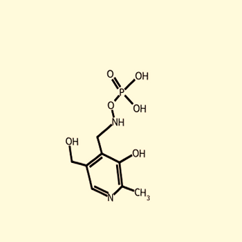 Cc1ncc(CO)c(CNOP(=O)(O)O)c1O